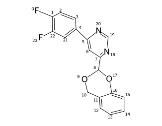 Fc1ccc(-c2cc(C3OCc4ccccc4O3)ncn2)cc1F